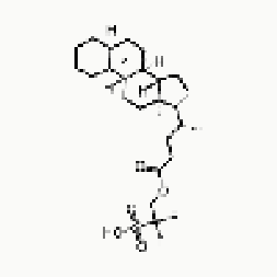 C[C@H](CCC(=O)OCC(F)(F)S(=O)(=O)O)[C@H]1CC[C@H]2[C@@H]3CC[C@@H]4CCCC[C@]4(C)[C@H]3CC[C@]12C